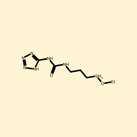 CCO[SiH2]CCCNC(=O)Nc1nnn[nH]1